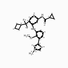 COc1c(Nc2cc(NC(=O)C3CC3)ncc2C(F)(F)C2CCC2)cccc1-c1ncn(C)n1